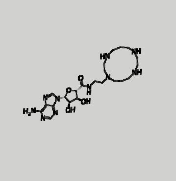 Nc1ncnc2c1ncn2[C@@H]1O[C@H](C(=O)NCCN2CCCNCCNCCCNCC2)[C@@H](O)[C@H]1O